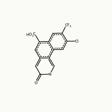 O=C1C=c2cc(C(=O)O)c3cc(C(F)(F)F)c(Cl)cc3c2=C[N]1